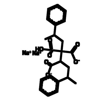 CC(CC(C(=O)[O-])C(CC(C)c1ccccc1)(C(=O)[O-])S(=O)(=O)O)c1ccccc1.[Na+].[Na+]